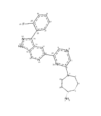 N[C@H]1CCCN(c2cncc(-c3cc4c(-c5ccccc5F)n[nH]c4cn3)n2)CC1